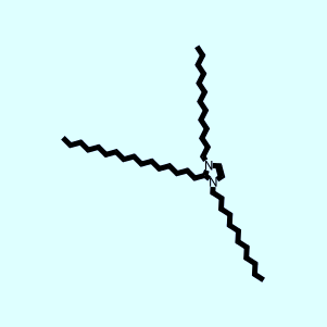 CCCCCCCCCCCCCCCCC1N(CCCCCCCCCCCC)C=CN1CCCCCCCCCCCCC